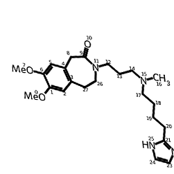 COc1cc2c(cc1OC)CC(=O)N(CCCN(C)CCCCc1ncc[nH]1)CC2